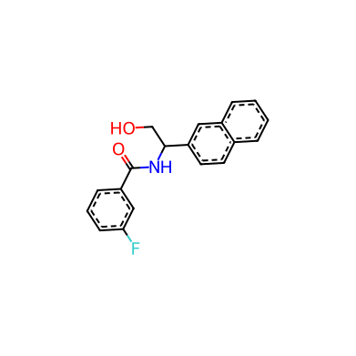 O=C(NC(CO)c1ccc2ccccc2c1)c1cccc(F)c1